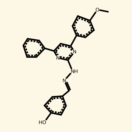 COc1ccc(-c2cc(-c3ccccc3)nc(NN=Cc3ccc(O)cc3)n2)cc1